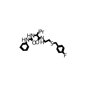 CC(C)C(NC(=O)Nc1ccccc1)C(=O)NCCSCc1ccc(F)cc1